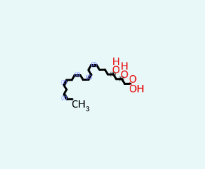 CC/C=C\C/C=C\C/C=C\C/C=C\C/C=C\CCC[C@@H](O)C[C@@H](O)CC(=O)O